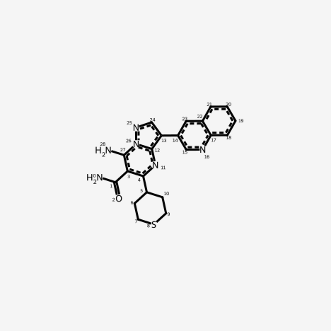 NC(=O)c1c(C2CCSCC2)nc2c(-c3cnc4ccccc4c3)cnn2c1N